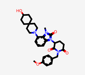 COc1ccc(CN2C(=O)CCC(n3c(=O)n(C)c4c(N5CCC6(CCC(O)CC6)CC5)cccc43)C2=O)cc1